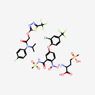 CC(C)N(C(=O)COc1nnc(C(F)(F)F)s1)c1ccc(F)cc1.CP(=O)(O)CCC(N)C(=O)O.CS(=O)(=O)NC(=O)c1cc(Oc2ccc(C(F)(F)F)cc2Cl)ccc1[N+](=O)[O-]